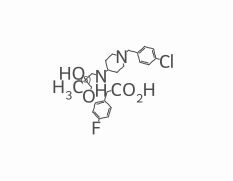 C[C@](O)(CNC1CCN(Cc2ccc(Cl)cc2)CC1)COc1cc(F)ccc1CC(=O)O